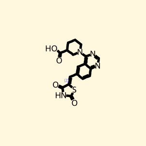 O=C1NC(=O)/C(=C/c2ccc3ncnc(N4CCCC(C(=O)O)C4)c3c2)S1